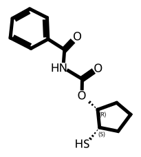 O=C(NC(=O)c1ccccc1)O[C@@H]1CCC[C@@H]1S